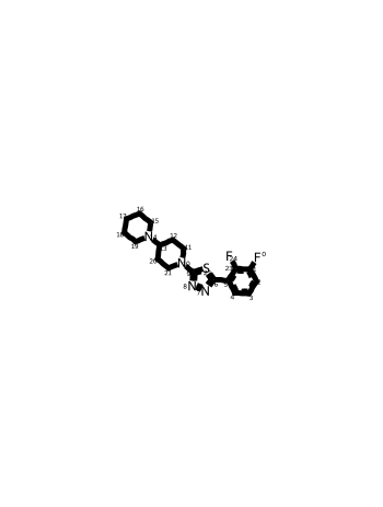 Fc1cccc(-c2nnc(N3CCC(N4CCCCC4)CC3)s2)c1F